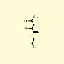 CCCOC(=S)C(N)CC(C)C